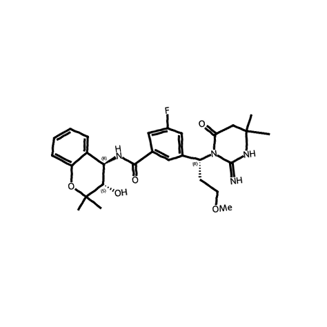 COCC[C@H](c1cc(F)cc(C(=O)N[C@@H]2c3ccccc3OC(C)(C)[C@H]2O)c1)N1C(=N)NC(C)(C)CC1=O